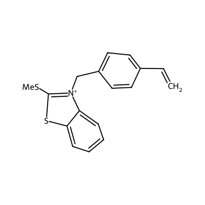 C=Cc1ccc(C[n+]2c(SC)sc3ccccc32)cc1